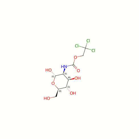 O=C(N[C@H]1[C@@H](O)[C@H](O)[C@@H](CO)O[C@@H]1O)OCC(Cl)(Cl)Cl